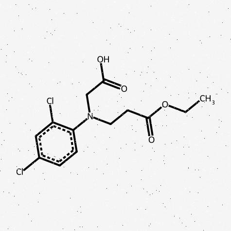 CCOC(=O)CCN(CC(=O)O)c1ccc(Cl)cc1Cl